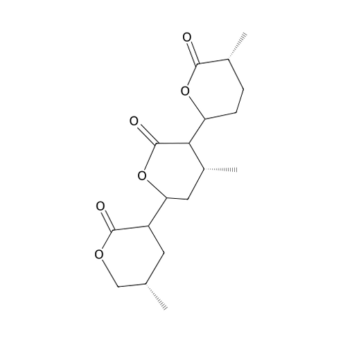 C[C@@H]1COC(=O)C(C2C[C@@H](C)C(C3CC[C@@H](C)C(=O)O3)C(=O)O2)C1